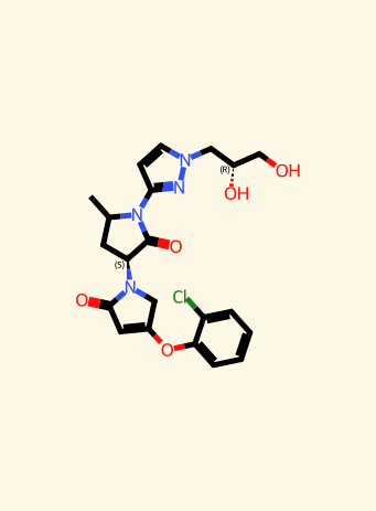 CC1C[C@H](N2CC(Oc3ccccc3Cl)=CC2=O)C(=O)N1c1ccn(C[C@@H](O)CO)n1